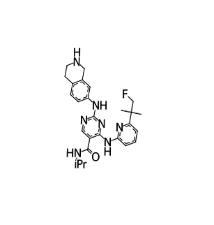 CC(C)NC(=O)c1cnc(Nc2ccc3c(c2)CNCC3)nc1Nc1cccc(C(C)(C)CF)n1